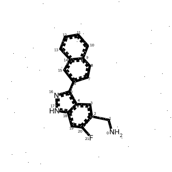 NCc1cc2c(-c3ccc4ccccc4c3)n[nH]c2cc1F